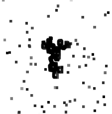 COc1cc(NC(=O)CBr)c(C(=O)Cc2ccc(Cl)c(Cl)c2)cc1OC